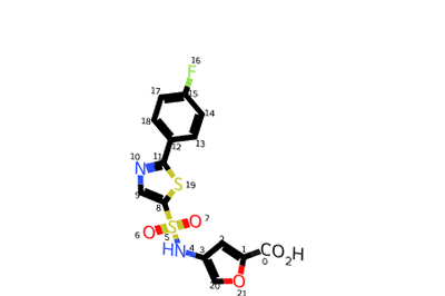 O=C(O)c1cc(NS(=O)(=O)c2cnc(-c3ccc(F)cc3)s2)co1